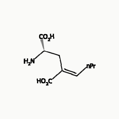 CCC/C=C(\C[C@H](N)C(=O)O)C(=O)O